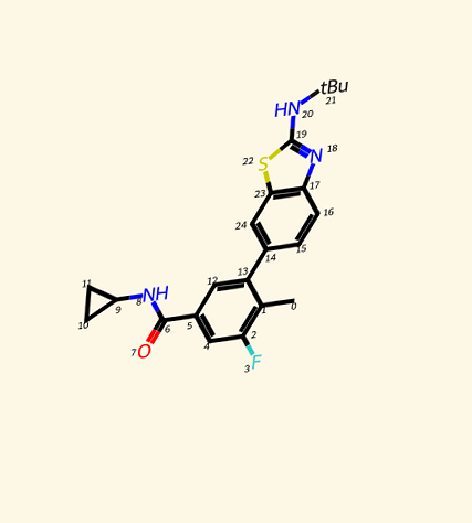 Cc1c(F)cc(C(=O)NC2CC2)cc1-c1ccc2nc(NC(C)(C)C)sc2c1